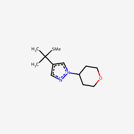 CSC(C)(C)c1cnn(C2CCOCC2)c1